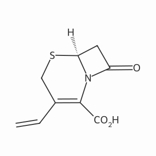 C=CC1=C(C(=O)O)N2C(=O)C[C@@H]2SC1